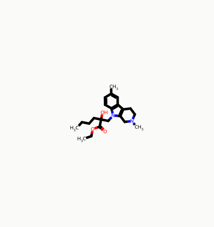 CCCCC(O)(Cn1c2c(c3cc(C)ccc31)CCN(C)C2)C(=O)OCC